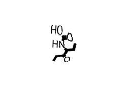 CCC(=O)C(CC)NC(=O)O